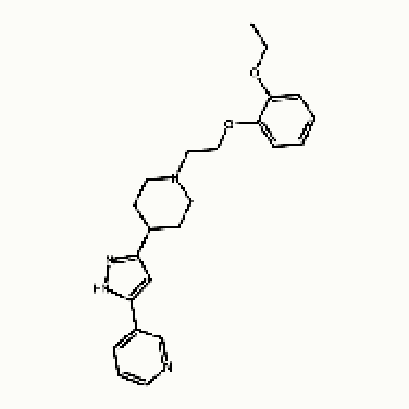 CCOc1ccccc1OCCN1CCC(c2cc(-c3cccnc3)[nH]n2)CC1